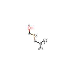 CCC(CC)CSCO